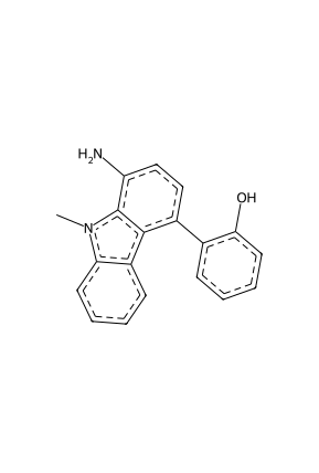 Cn1c2ccccc2c2c(-c3ccccc3O)ccc(N)c21